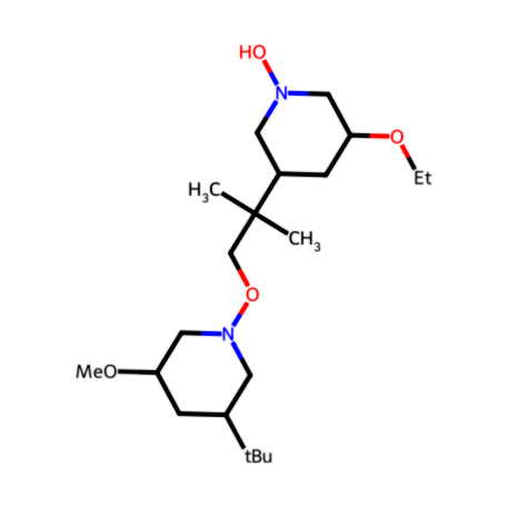 CCOC1CC(C(C)(C)CON2CC(OC)CC(C(C)(C)C)C2)CN(O)C1